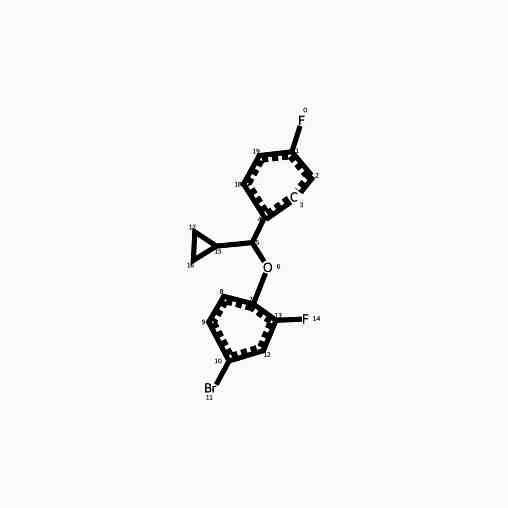 Fc1ccc(C(Oc2ccc(Br)cc2F)C2CC2)cc1